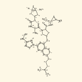 CCC1C[C@]1(NC(=O)C1CC(Oc2cc(-n3ccc(NC(C)C)n3)nc3cc(OCCN(C)C)ccc23)CN1C(=O)C(NC(=O)OC1C[C@@H]2C[C@@H]2C1)C(C)(C)C)C(=O)O